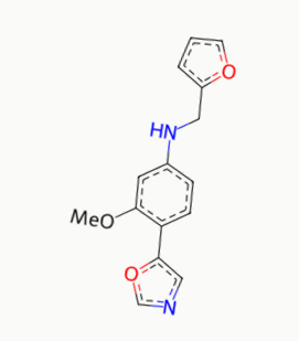 COc1cc(NCc2ccco2)ccc1-c1cnco1